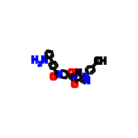 C#Cc1ccc(-n2ncc3c(=O)n(CC4(O)CCN(C(=O)c5ccc(-c6ccccc6N)cc5)CC4)cnc32)cc1